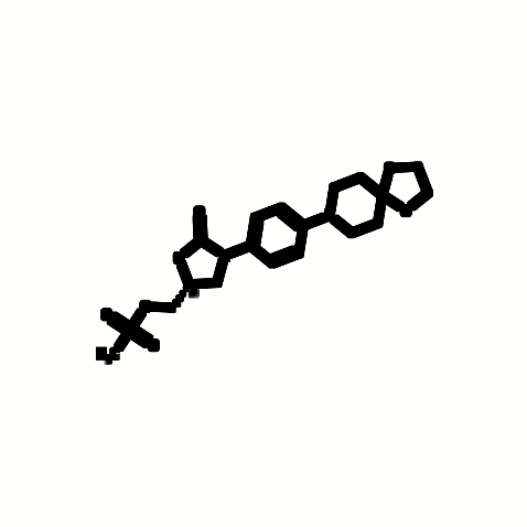 CS(=O)(=O)OC[C@H]1CN(c2ccc(N3CCC4(CC3)OCCO4)cc2)C(=O)O1